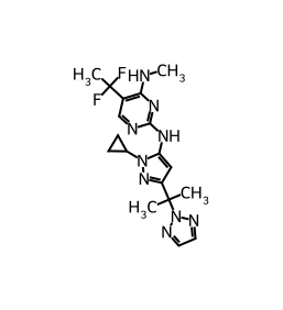 CNc1nc(Nc2cc(C(C)(C)n3nccn3)nn2C2CC2)ncc1C(C)(F)F